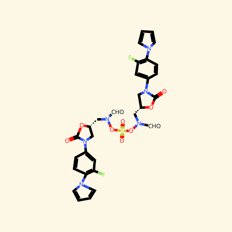 O=CN(C[C@@H]1CN(c2ccc(-n3cccc3)c(F)c2)C(=O)O1)OS(=O)(=O)ON(C=O)C[C@@H]1CN(c2ccc(-n3cccc3)c(F)c2)C(=O)O1